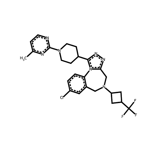 Cc1ccnc(N2CCC(c3nnc4n3-c3ccc(Cl)cc3CN(C3CC(C(F)(F)F)C3)C4)CC2)n1